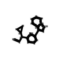 O=CN(c1cccc(-c2cnn3ccccc23)n1)C1CC1